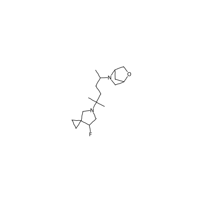 CC(CCC(C)(C)N1CC(F)C2(CC2)C1)N1CC2CC1CO2